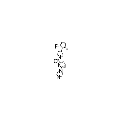 CN1CCN(c2cccc(C(=O)N3CCC(c4c(F)cccc4F)CC3)n2)CC1